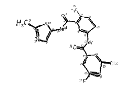 Cc1ncc(NC(=O)c2cc(NC(=O)c3cc(F)cc(Cl)c3)ccc2C)s1